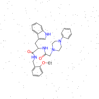 CCOc1ccccc1CNC(=O)C(Cc1c[nH]c2ccccc12)NC(=O)CN1CCN(c2ccccc2)CC1